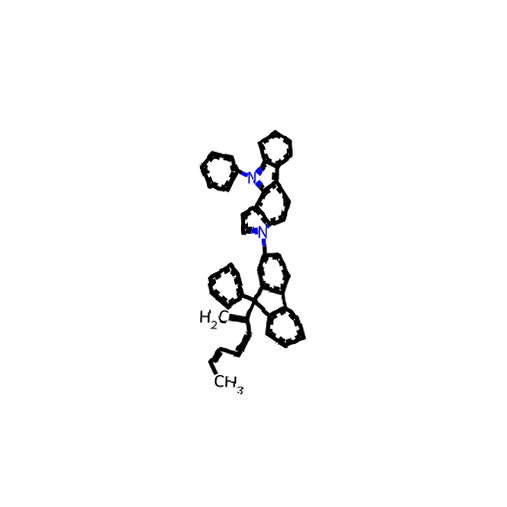 C=C(/C=C\C=C/C)C1(c2ccccc2)c2ccccc2-c2ccc(-n3ccc4c3ccc3c5ccccc5n(-c5ccccc5)c34)cc21